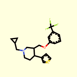 FC(F)(F)c1cccc(OCC2CN(CC3CC3)CCC2c2ccsc2)c1